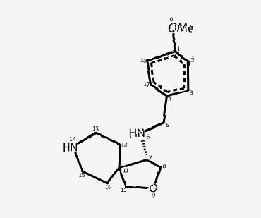 COc1ccc(CN[C@@H]2COCC23CCNCC3)cc1